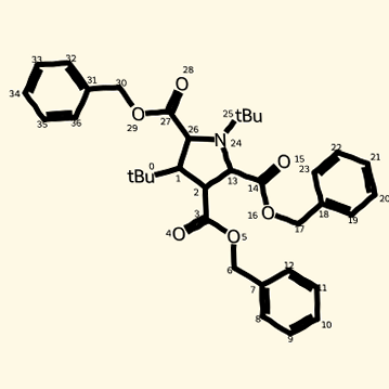 CC(C)(C)C1C(C(=O)OCc2ccccc2)C(C(=O)OCc2ccccc2)N(C(C)(C)C)C1C(=O)OCc1ccccc1